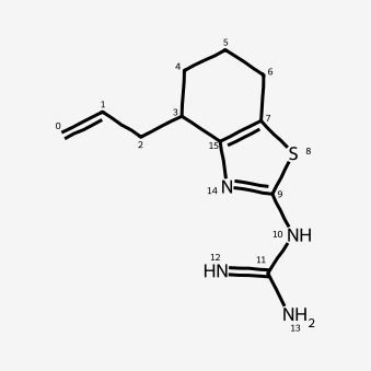 C=CCC1CCCc2sc(NC(=N)N)nc21